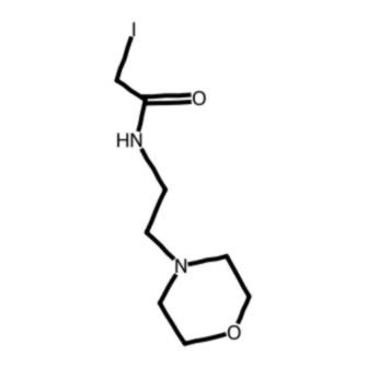 O=C(CI)NCCN1CCOCC1